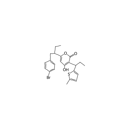 CCC(Cc1ccc(Br)cc1)c1cc(O)c(C(CC)c2ccc(C)s2)c(=O)o1